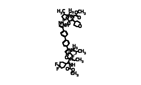 CCN(C(=O)[C@@H](NC(=O)OC)C1CCC(F)(F)CC1)[C@@H](CC(C)C)c1ncc(-c2ccc(-c3ccc(-c4cnc([C@@H]5CC(C)[C@@H](C)N5C(=O)[C@@H](NC(=O)OC)C5CCOCC5)[nH]4)cc3)cc2)[nH]1